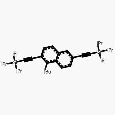 CC(C)[Si](C#Cc1ccc2c(C(C)(C)C)c(C#C[Si](C(C)C)(C(C)C)C(C)C)ccc2c1)(C(C)C)C(C)C